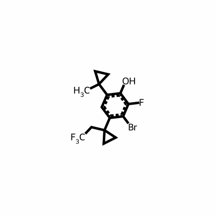 CC1(c2cc(C3(CC(F)(F)F)CC3)c(Br)c(F)c2O)CC1